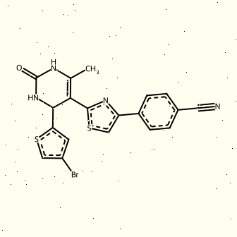 CC1=C(c2nc(-c3ccc(C#N)cc3)cs2)C(c2cc(Br)cs2)NC(=O)N1